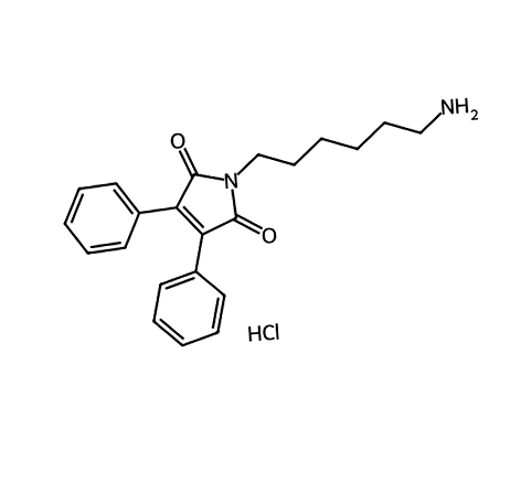 Cl.NCCCCCCN1C(=O)C(c2ccccc2)=C(c2ccccc2)C1=O